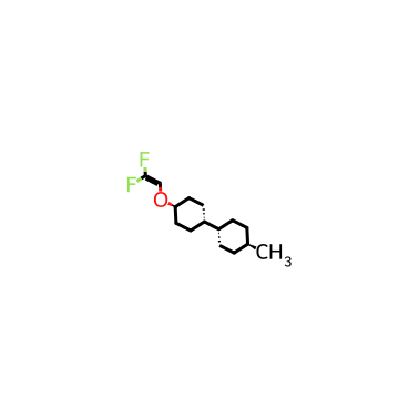 C[C@H]1CC[C@H]([C@H]2CC[C@H](OC=C(F)F)CC2)CC1